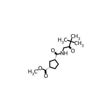 COC(=O)[C@H]1CC[C@@H](C(=O)NCC(=O)C(C)(C)C)C1